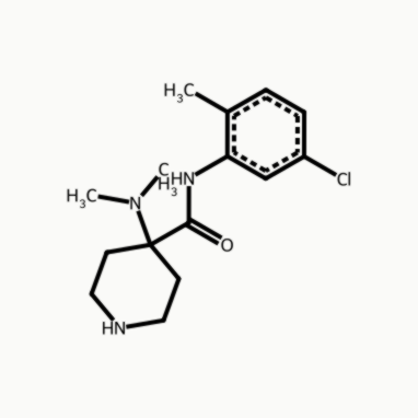 Cc1ccc(Cl)cc1NC(=O)C1(N(C)C)CCNCC1